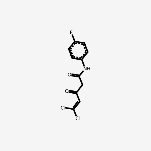 O=C(C=C(Cl)Cl)CC(=O)Nc1ccc(F)cc1